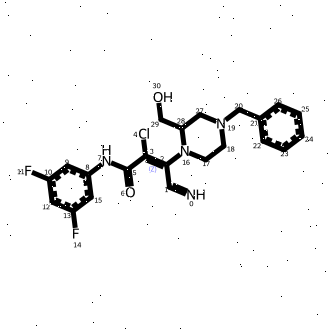 N=C/C(=C(/Cl)C(=O)Nc1cc(F)cc(F)c1)N1CCN(Cc2ccccc2)CC1CO